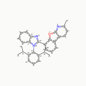 Cc1ccc2c(n1)oc1c(-c3nc4ccccc4n3-c3c(C(C)C)cccc3C(C)C)cccc12